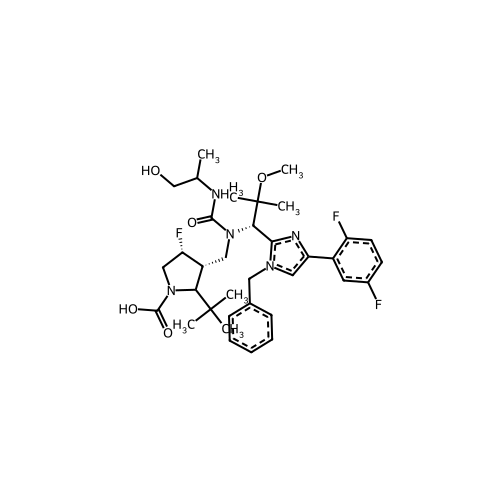 COC(C)(C)[C@H](c1nc(-c2cc(F)ccc2F)cn1Cc1ccccc1)N(C[C@@H]1C(C(C)(C)C)N(C(=O)O)C[C@@H]1F)C(=O)NC(C)CO